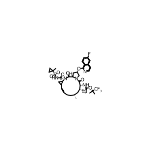 CC[C@@H]1C[C@H](C)CC/C=C\C2C[C@@]2(C(=O)NS(=O)(=O)C2(C)CC2)NC(=O)[C@@H]2C[C@@H](Oc3nccc4cc(F)ccc34)CN2C(=O)[C@H]1NC(=O)OC(C)(C)C(F)(F)F